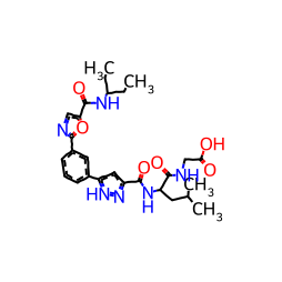 CCC(CC)NC(=O)c1cnc(-c2cccc(-c3cc(C(=O)NC(CC(C)C)C(=O)NCC(=O)O)n[nH]3)c2)o1